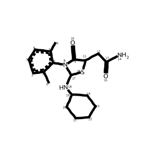 Cc1cccc(C)c1N1C(=O)C(CC(N)=O)SC1NC1CCCCC1